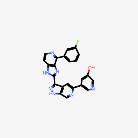 Oc1cncc(-c2cc3c(-c4nc5c(-c6cccc(F)c6)nccc5[nH]4)n[nH]c3cn2)c1